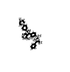 CCc1sc(Nc2ccc(-c3nn([C@H]4CC[C@@H](N5CCN(C)CC5)CC4)c4ncnc(N)c34)cc2)nc1-c1ccccc1